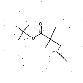 CNCC(C)(C)C(=O)OC(C)(C)C